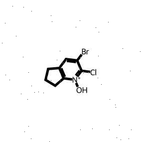 O[n+]1c(Cl)c(Br)cc2c1CCC2